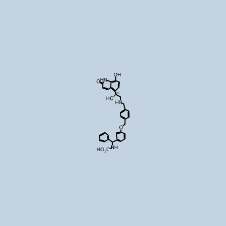 O=C(O)NC(c1ccccc1)c1cccc(OCc2ccc(CNC[C@@H](O)c3ccc(O)c4[nH]c(=O)ccc34)cc2)c1